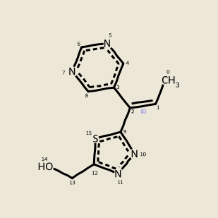 C/C=C(\c1cncnc1)c1nnc(CO)s1